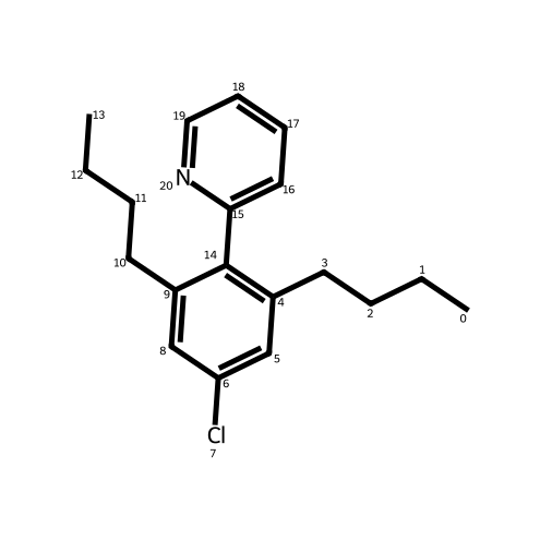 CCCCc1cc(Cl)cc(CCCC)c1-c1ccccn1